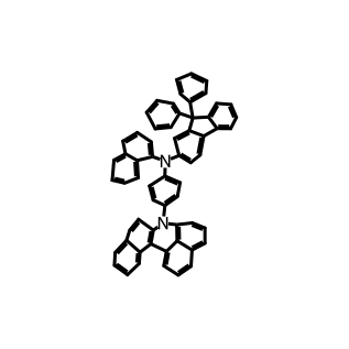 c1ccc(C2(c3ccccc3)c3ccccc3-c3ccc(N(c4ccc(N5c6ccc7ccccc7c6-c6cccc7cccc5c67)cc4)c4cccc5ccccc45)cc32)cc1